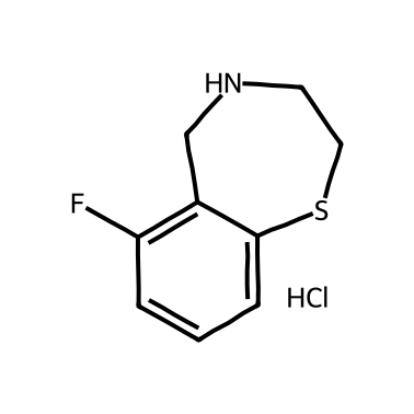 Cl.Fc1cccc2c1CNCCS2